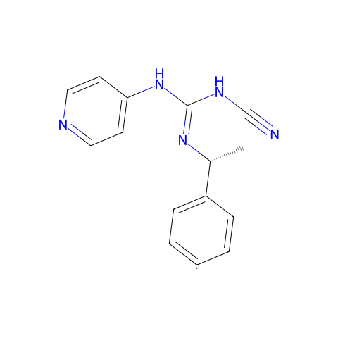 C[C@@H](N=C(NC#N)Nc1ccncc1)c1cc[c]cc1